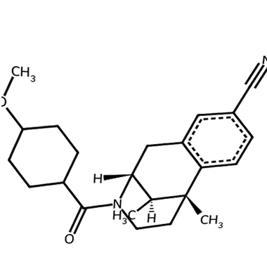 COC1CCC(C(=O)N2CC[C@@]3(C)c4ccc(C#N)cc4C[C@@H]2[C@@H]3C)CC1